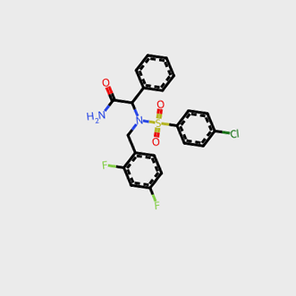 NC(=O)C(c1ccccc1)N(Cc1ccc(F)cc1F)S(=O)(=O)c1ccc(Cl)cc1